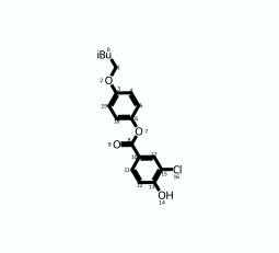 CCC(C)COc1ccc(OC(=O)c2ccc(O)c(Cl)c2)cc1